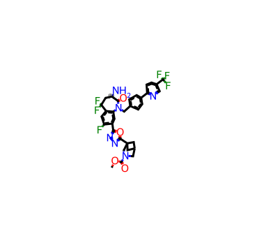 COC(=O)N1CC2CC(c3nnc(-c4cc5c(cc4F)C(F)(F)C[C@@H](N)C(=O)N5Cc4ccc(-c5ccc(C(F)(F)F)cn5)cc4)o3)(C2)C1